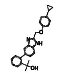 CC(C)(O)c1ccccc1-c1ccc2[nH]c(COc3ccc(C4CC4)cc3)nc2c1